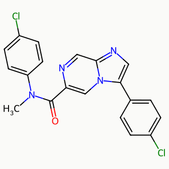 CN(C(=O)c1cn2c(-c3ccc(Cl)cc3)cnc2cn1)c1ccc(Cl)cc1